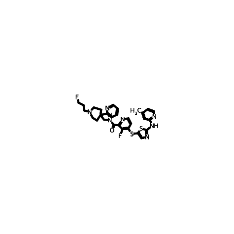 Cc1ccnc(Nc2ncc(Sc3ccnc(C(=O)NCC4(c5ccccn5)CCN(CCCF)CC4)c3F)s2)c1